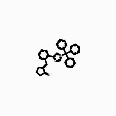 O=C1CCC/C1=C\c1ccccc1-c1cn(C(c2ccccc2)(c2ccccc2)c2ccccc2)cn1